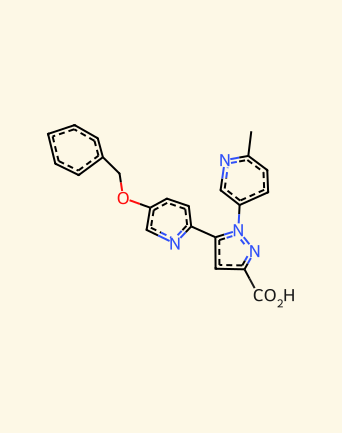 Cc1ccc(-n2nc(C(=O)O)cc2-c2ccc(OCc3ccccc3)cn2)cn1